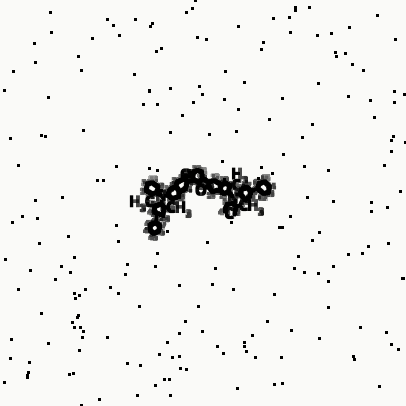 Cc1ccccc1N(c1ccc2cc3c(cc2c1)oc1c3ccc2oc3cc4cc(N(c5ccccc5C)c5ccc(-c6ccccc6)cc5C)ccc4cc3c21)c1ccc(-c2ccccc2)cc1C